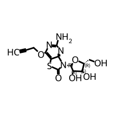 C#CCOc1nc(N)nc2c1sc(=O)n2[C@@H]1O[C@H](CO)[C@@H](O)[C@H]1O